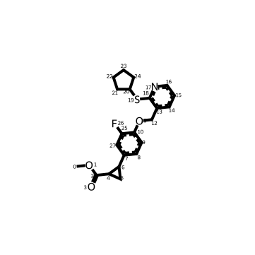 COC(=O)C1CC1c1ccc(OCc2cccnc2SC2CCCC2)c(F)c1